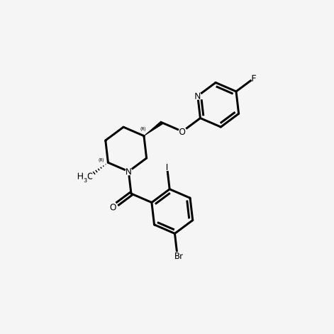 C[C@@H]1CC[C@@H](COc2ccc(F)cn2)CN1C(=O)c1cc(Br)ccc1I